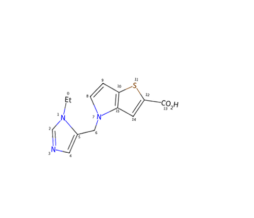 CCn1cncc1Cn1ccc2sc(C(=O)O)cc21